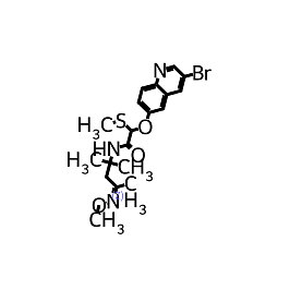 CO/N=C(/C)CC(C)(C)NC(=O)C(Oc1ccc2ncc(Br)cc2c1)SC